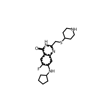 O=c1[nH]c(CSC2CCNCC2)nc2cc(NC3CCCC3)c(F)cc12